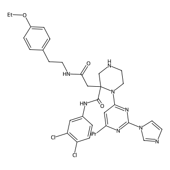 CCOc1ccc(CCNC(=O)CC2(C(=O)Nc3ccc(Cl)c(Cl)c3)CNCCN2c2cc(C(C)C)nc(-n3ccnc3)n2)cc1